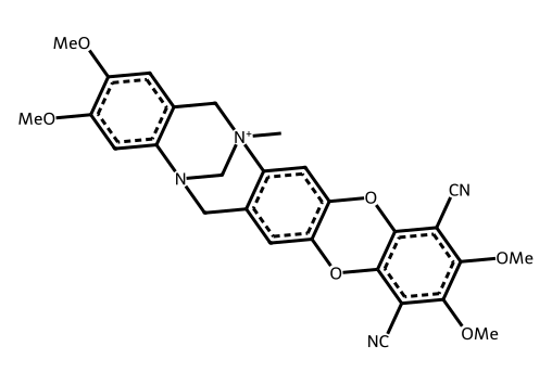 COc1cc2c(cc1OC)N1Cc3cc4c(cc3[N+](C)(C2)C1)Oc1c(C#N)c(OC)c(OC)c(C#N)c1O4